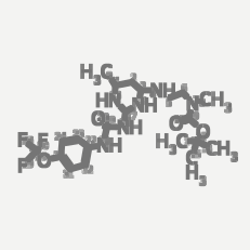 CC1CC(NCCN(C)C(=O)OC(C)(C)C)NC(NC(=O)Nc2ccc(OC(F)(F)F)cc2)N1